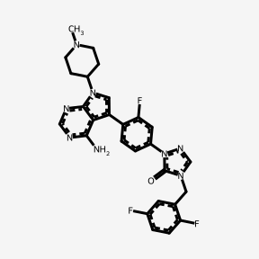 CN1CCC(n2cc(-c3ccc(-n4ncn(Cc5cc(F)ccc5F)c4=O)cc3F)c3c(N)ncnc32)CC1